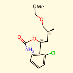 COCOC[C@@H](C)C[C@H](OC(N)=O)c1ccccc1Cl